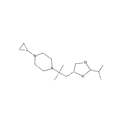 CC(C)C1OCC(CC(C)(C)N2CCN(C3CC3)CC2)O1